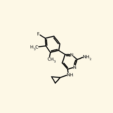 Cc1c(F)ccc(-c2cc(NC3CC3)nc(N)n2)c1C